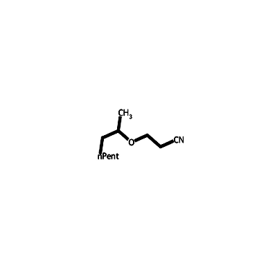 CCCCCCC(C)OCCC#N